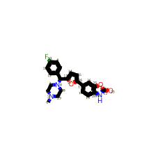 CN1CCN(C(c2ccc(F)cc2)c2ccc(-c3ccc4[nH]c(=O)oc4c3)o2)CC1